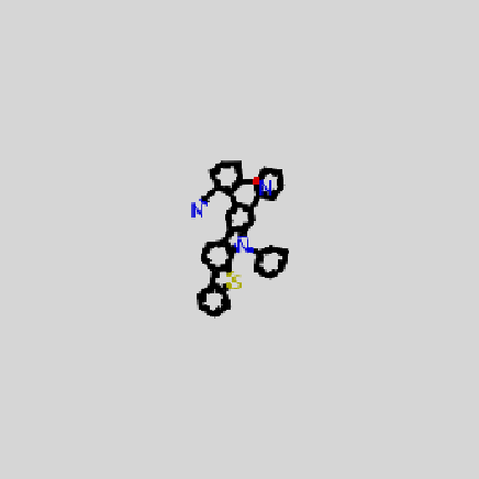 N#Cc1cccc(C#N)c1-c1cc2c3ccc4c5ccccc5sc4c3n(-c3ccccc3)c2cc1-c1ccccc1